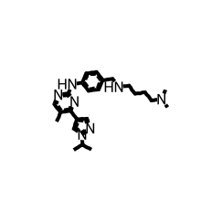 Cc1cnc(Nc2ccc(CNCCCCN(C)C)cc2)nc1-c1cnn(C(C)C)c1